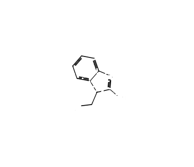 CC1=Nc2ccccc2C1CC(=O)O